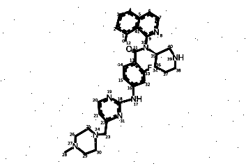 Cc1cccc2ccnc(N(C(=O)c3ccc(Nc4nccc(CN5CCN(C)CC5)n4)cc3F)[C@@H]3CCCNC3)c12